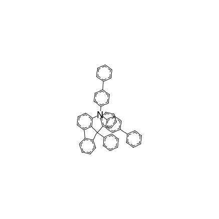 c1ccc(-c2ccc(N(c3ccc(-c4ccccc4)cc3)c3cccc4c3C(c3ccccc3)(c3ccccc3)c3ccccc3-4)cc2)cc1